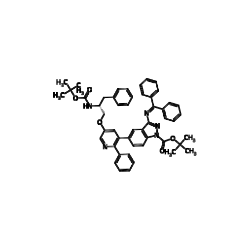 CC(C)(C)OC(=O)N[C@@H](COc1cnc(-c2ccccc2)c(-c2ccc3c(c2)c(N=C(c2ccccc2)c2ccccc2)nn3C(=O)OC(C)(C)C)c1)Cc1ccccc1